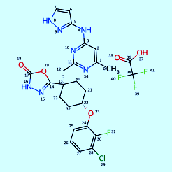 Cc1cc(Nc2cc[nH]n2)nc(C[C@]2(c3n[nH]c(=O)o3)CC[C@H](Oc3cccc(Cl)c3F)CC2)n1.O=C(O)C(F)(F)F